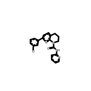 O=C(Nc1ccccn1)N1CCCc2ccc(-c3cccc(Cl)c3)nc21